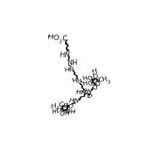 C[C@@H]1O[C@@H](OCCNCCCC(NCCCCNCCCCNCCNCCNCCCCCC(=O)O)C(=O)NCCO[C@@H]2O[C@@H](C)[C@@H](O)[C@@H](O)[C@@H]2O)[C@@H](O)[C@H](O)[C@@H]1O